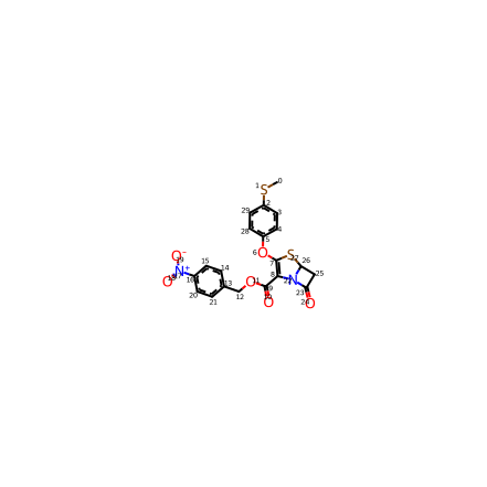 CSc1ccc(OC2=C(C(=O)OCc3ccc([N+](=O)[O-])cc3)N3C(=O)CC3S2)cc1